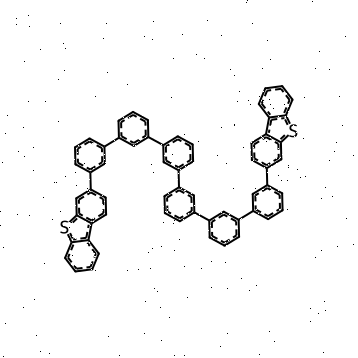 c1cc(-c2cccc(-c3cccc(-c4cccc(-c5ccc6c(c5)sc5ccccc56)c4)c3)c2)cc(-c2cccc(-c3cccc(-c4ccc5c(c4)sc4ccccc45)c3)c2)c1